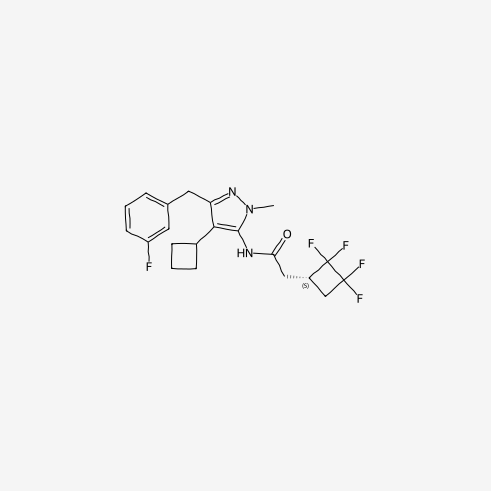 Cn1nc(Cc2cccc(F)c2)c(C2CCC2)c1NC(=O)C[C@H]1CC(F)(F)C1(F)F